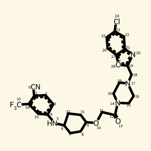 N#Cc1ccc(NC2CCC(OCC(=O)N3CCN(Cc4nc5cc(Cl)ccc5o4)CC3)CC2)cc1C(F)(F)F